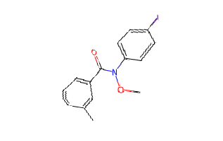 CON(C(=O)c1cccc(C)c1)c1ccc(I)cc1